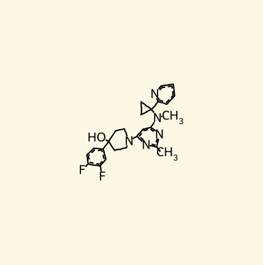 Cc1nc(N2CCC(O)(c3ccc(F)c(F)c3)CC2)cc(N(C)C2(c3ccccn3)CC2)n1